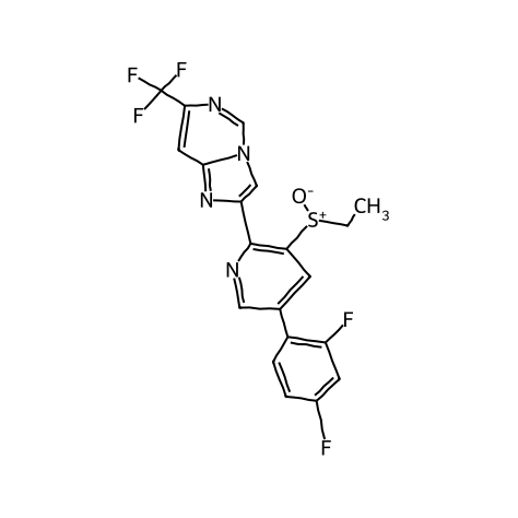 CC[S+]([O-])c1cc(-c2ccc(F)cc2F)cnc1-c1cn2cnc(C(F)(F)F)cc2n1